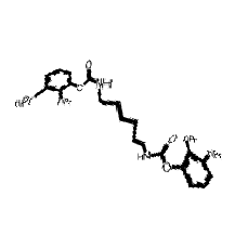 CCCc1cccc(OC(=O)NCCCCCCNC(=O)Oc2cccc(CCC)c2CCC)c1CCC